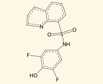 O=S(=O)(Nc1cc(F)c(O)c(F)c1)c1cccc2cccnc12